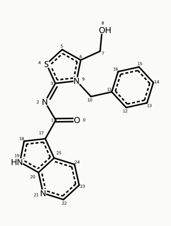 O=C(N=c1scc(CO)n1Cc1ccccc1)c1c[nH]c2ncccc12